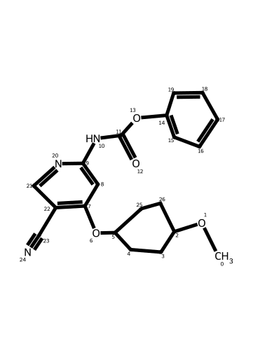 COC1CCC(Oc2cc(NC(=O)Oc3ccccc3)ncc2C#N)CC1